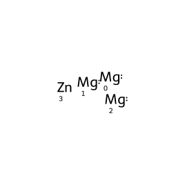 [Mg].[Mg].[Mg].[Zn]